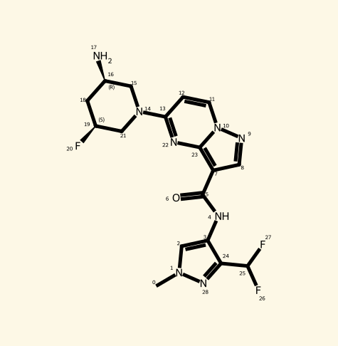 Cn1cc(NC(=O)c2cnn3ccc(N4C[C@H](N)C[C@H](F)C4)nc23)c(C(F)F)n1